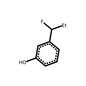 [CH2]CC(F)c1cccc(O)c1